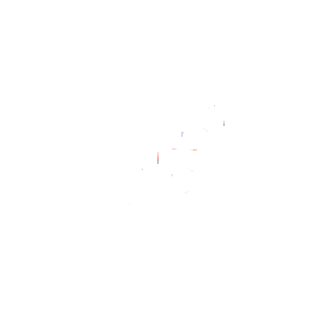 C[C@@H]1CN(C(=O)c2ccccc2S(=O)(=O)Nc2cccnc2)C[C@H](C)O1